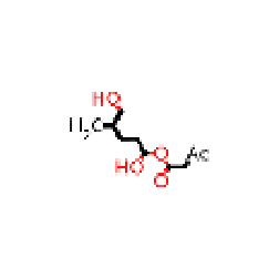 C=C(CO)CCC(O)OC(=O)CC(C)=O